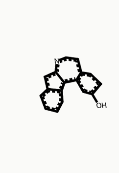 Oc1ccc2ccnc3cc4ccccc4c-3c2c1